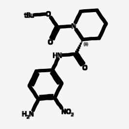 CC(C)(C)OC(=O)N1CCCC[C@@H]1C(=O)Nc1ccc(N)c([N+](=O)[O-])c1